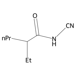 CCCC(CC)C(=O)NC#N